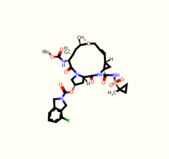 C[C@H]1CC/C=C\[C@@H]2C[C@@]2(C(=O)NS(=O)(=O)C2(C)CC2)NC(=O)[C@@H]2C[C@@H](OC(=O)N3Cc4cccc(F)c4C3)CN2C(=O)[C@@H](NC(=O)OC(C)(C)C)[C@H](C)C1